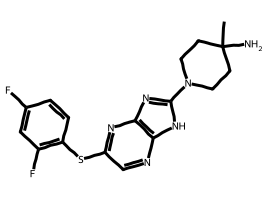 CC1(N)CCN(c2nc3nc(Sc4ccc(F)cc4F)cnc3[nH]2)CC1